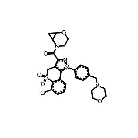 O=C(c1nn(-c2ccc(CN3CCOCC3)cc2)c2c1CS(=O)(=O)c1c(Cl)cccc1-2)N1CCOC2CC21